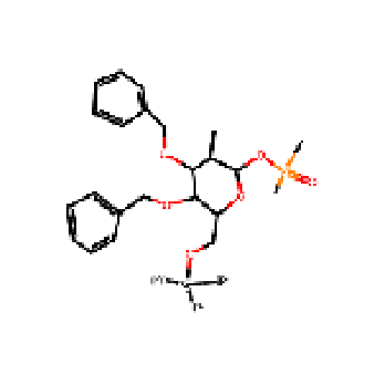 CC1C(OP(C)(C)=O)OC(CO[Si](C(C)C)(C(C)C)C(C)C)C(OCc2ccccc2)C1OCc1ccccc1